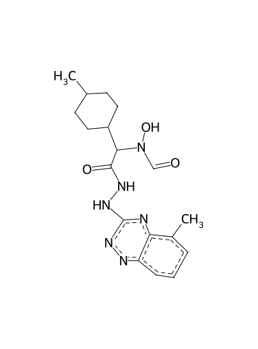 Cc1cccc2nnc(NNC(=O)C(C3CCC(C)CC3)N(O)C=O)nc12